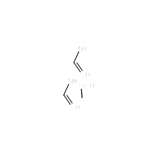 C=CN.C=CN.O=C(O)O